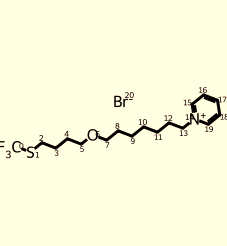 FC(F)(F)SCCCCOCCCCCCC[n+]1ccccc1.[Br-]